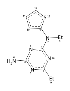 CCc1nc(N)nc(N(CC)c2cccs2)n1